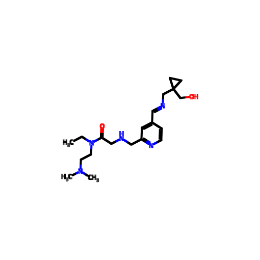 CCN(CCN(C)C)C(=O)CNCc1cc(C=NCC2(CO)CC2)ccn1